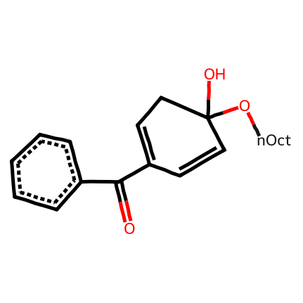 CCCCCCCCOC1(O)C=CC(C(=O)c2ccccc2)=CC1